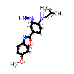 COc1ccc2nc(-c3ccc(NCC(C)C)c(N=N)c3)oc2c1